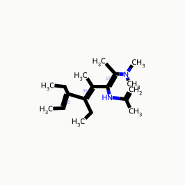 C=C(C)NC(=C(/C)N(C)C)/C(C)=C(CC)/C(=C/C)CC